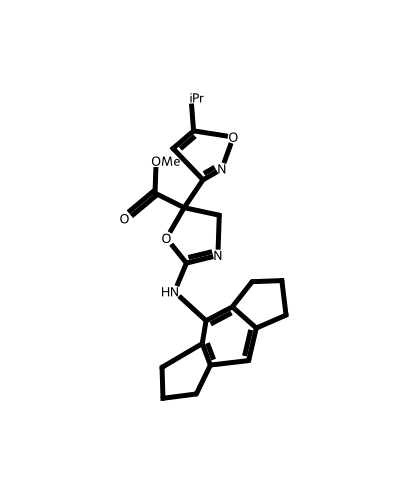 COC(=O)C1(c2cc(C(C)C)on2)CN=C(Nc2c3c(cc4c2CCC4)CCC3)O1